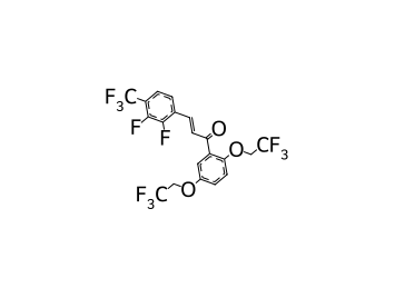 O=C(C=Cc1ccc(C(F)(F)F)c(F)c1F)c1cc(OCC(F)(F)F)ccc1OCC(F)(F)F